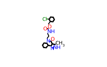 Cc1[nH]nc2c1c(=O)n(CCCNC(=O)OCc1ccccc1Cl)c1ccccc21